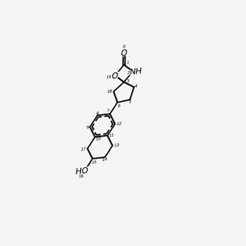 O=C1NC2(CCC(c3ccc4c(c3)CCC(O)C4)C2)O1